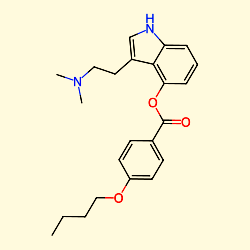 CCCCOc1ccc(C(=O)Oc2cccc3[nH]cc(CCN(C)C)c23)cc1